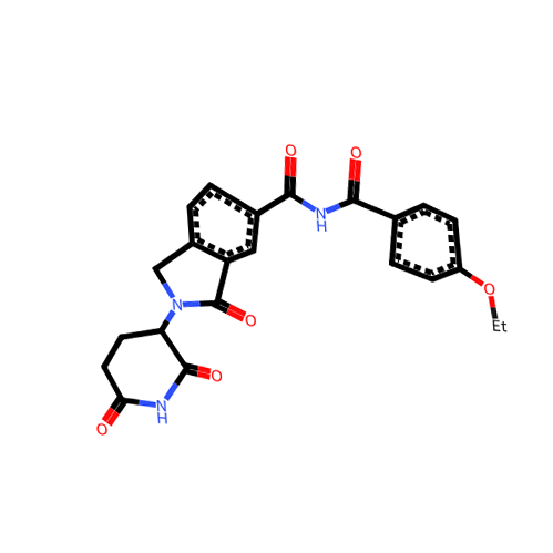 CCOc1ccc(C(=O)NC(=O)c2ccc3c(c2)C(=O)N(C2CCC(=O)NC2=O)C3)cc1